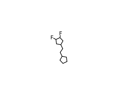 FC1CC(CCC2CCCC2)CC1F